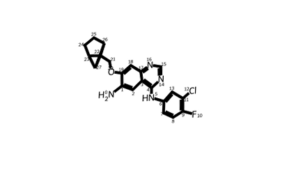 Nc1cc2c(Nc3ccc(F)c(Cl)c3)ncnc2cc1OCC12C3CCC1C32